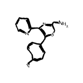 Nc1nc(-c2ccccn2)c(-c2ccc(F)cc2)s1